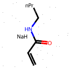 C=CC(=O)NCCCC.[NaH]